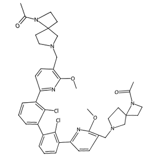 COc1nc(-c2cccc(-c3cccc(-c4ccc(CN5CCC6(CCN6C(C)=O)C5)c(OC)n4)c3Cl)c2Cl)ccc1CN1CCC2(CCN2C(C)=O)C1